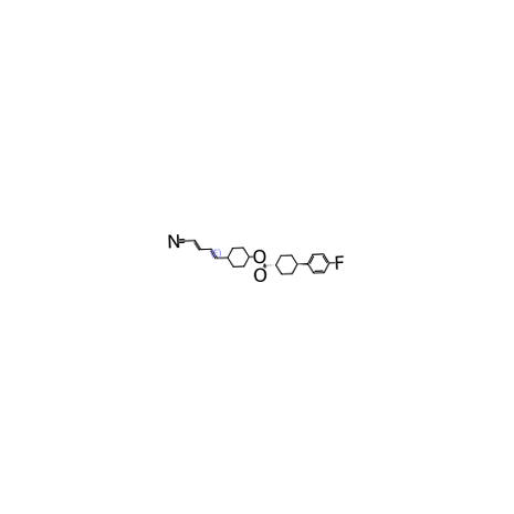 N#CC=C/C=C/C1CCC(OC(=O)[C@H]2CC[C@H](c3ccc(F)cc3)CC2)CC1